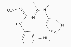 CN(c1cccnc1)c1ccc([N+](=O)[O-])c(Nc2cccc(N)c2)n1